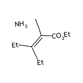 CCOC(=O)C(C)=C(CC)CC.N